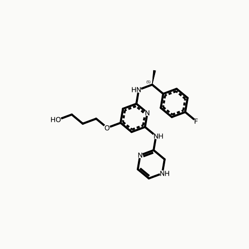 C[C@H](Nc1cc(OCCCO)cc(NC2=NC=CNC2)n1)c1ccc(F)cc1